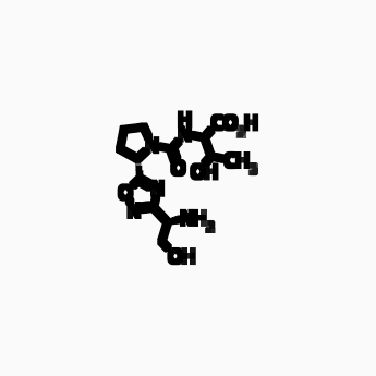 CC(O)C(NC(=O)N1CCC[C@H]1c1nc([C@@H](N)CO)no1)C(=O)O